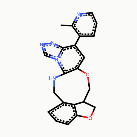 Cc1ncccc1-c1cc2c(n3cnnc13)NCc1cccc3c1C(CO3)CO2